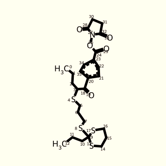 CCCC(SCCCSC1(CCC)SCCCS1)C(=O)c1ccc(C(=O)ON2C(=O)CCC2=O)cc1